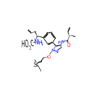 C=CC[C@H](NC(=O)O)c1cccc(-c2c(NC(=O)[C@H](C)C=C)cnn2COCC[Si](C)(C)C)c1